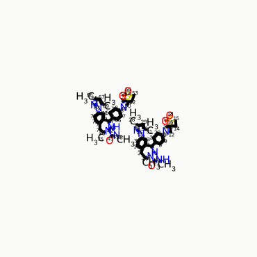 CNC(=O)N1N=C(c2ccc(N3CC4(CCS4(=O)=O)C3)cc2)c2cc(-n3nc(C)cc3C)ccc2CC1C.CNC(=O)N1N=C(c2ccc(N3CC4(CCS4(=O)=O)C3)cc2)c2cc(-n3nc(C)cc3C)ccc2C[C@@H]1C